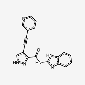 O=C(Nc1nc2ccccc2[nH]1)c1n[nH]cc1C#Cc1cccnc1